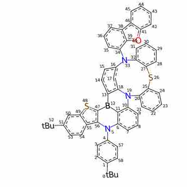 CC(C)(C)c1ccc(N2c3cccc4c3B(c3ccc5cc3N4c3ccccc3Sc3ccccc3N5c3cccc4c3oc3ccccc34)c3sc4cc(C(C)(C)C)ccc4c32)cc1